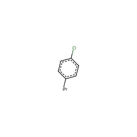 CC(C)c1c[c]c(Cl)cc1